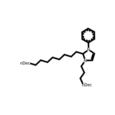 CCCCCCCCCCCCCCCCCCC1N(CCCCCCCCCCCCC)C=CN1c1ccccc1